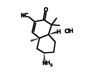 CC1(C)C(=O)C(C#N)=C[C@]2(C)C[C@@H](N)CC[C@H]12.Cl